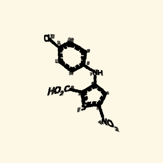 O=C(O)c1sc([N+](=O)[O-])cc1Nc1ccc(Cl)cc1